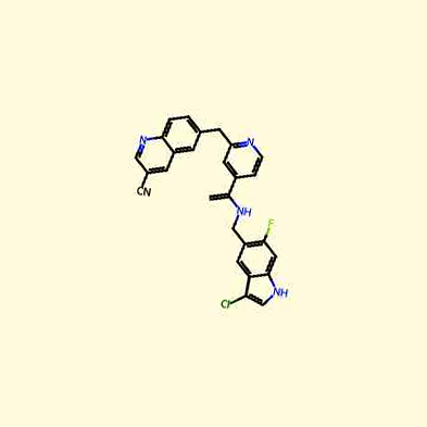 C=C(NCc1cc2c(Cl)c[nH]c2cc1F)c1ccnc(Cc2ccc3ncc(C#N)cc3c2)c1